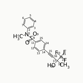 CN(c1ccccc1)S(=O)(=O)c1ccc(C#CC(C)(O)C(F)(F)F)cc1